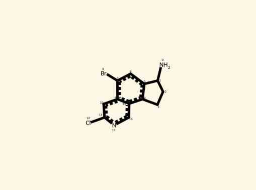 NC1CCc2c1cc(Br)c1cc(Cl)ncc21